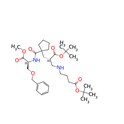 COC(=O)[C@H](COCc1ccccc1)NC(=O)C1(C[C@@H](CNCCCC(=O)OC(C)(C)C)C(=O)OC(C)(C)C)CCCC1